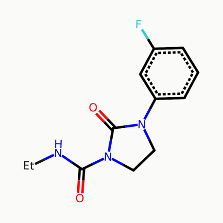 CCNC(=O)N1CCN(c2cccc(F)c2)C1=O